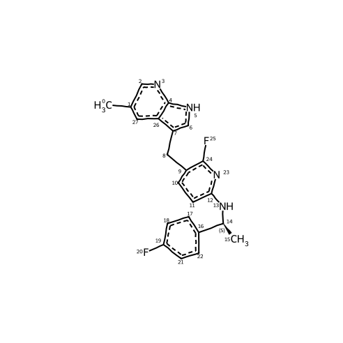 Cc1cnc2[nH]cc(Cc3ccc(N[C@@H](C)c4ccc(F)cc4)nc3F)c2c1